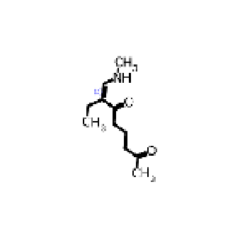 CC/C(=C/NC)C(=O)CCCC(C)=O